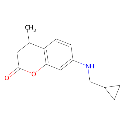 CC1CC(=O)Oc2cc(NCC3CC3)ccc21